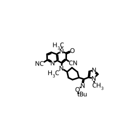 CN(c1c(C#N)c(=O)n(C)c2ccc(C#N)nc12)C1CCC(/C(=N\OC(C)(C)C)c2cncn2C)CC1